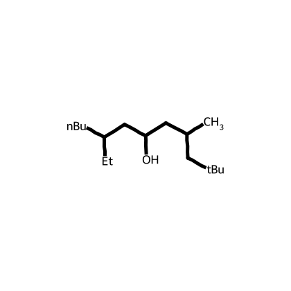 CCCCC(CC)CC(O)CC(C)CC(C)(C)C